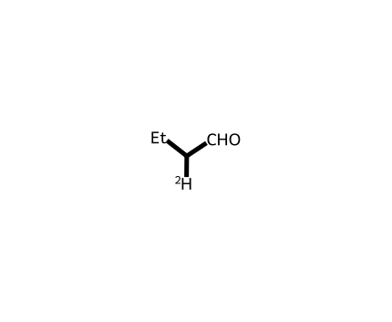 [2H]C(C=O)CC